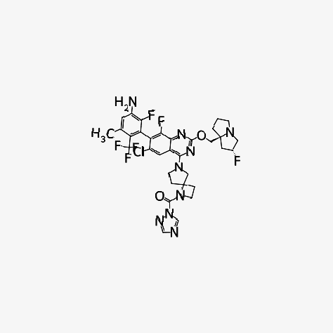 Cc1cc(N)c(F)c(-c2c(Cl)cc3c(N4CCC5(CCN5C(=O)n5cncn5)C4)nc(OC[C@@]45CCCN4C[C@H](F)C5)nc3c2F)c1C(F)(F)F